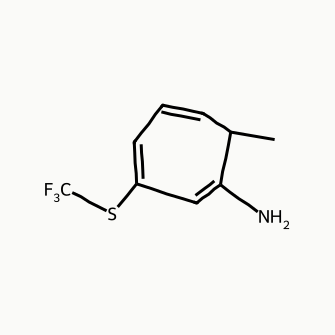 CC1C=CC=C(SC(F)(F)F)C=C1N